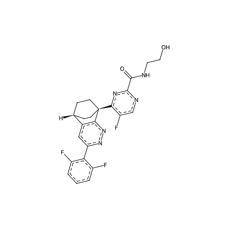 O=C(NCCO)c1ncc(F)c([C@]23CC[C@H](CC2)c2cc(-c4c(F)cccc4F)nnc23)n1